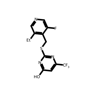 CCc1cncc(F)c1CSc1nc(O)cc(C(F)(F)F)n1